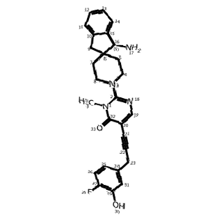 Cn1c(N2CCC3(CC2)Cc2ccccc2[C@H]3N)ncc(C#CCc2ccc(F)c(O)c2)c1=O